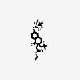 CCOC(=O)CC1(CC(F)(F)F)CCc2cc(OS(=O)(=O)C(F)(F)F)ccc2C1=O